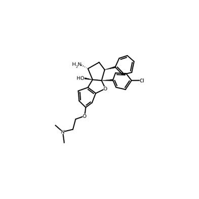 CN(C)CCOc1ccc2c(c1)O[C@@]1(c3ccc(Cl)cc3)[C@H](c3ccccc3)C[C@@H](N)[C@@]21O